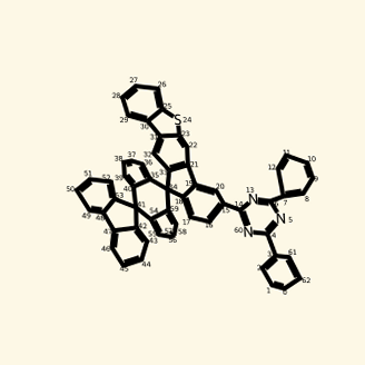 c1ccc(-c2nc(-c3ccccc3)nc(-c3ccc4c(c3)-c3cc5sc6ccccc6c5cc3C43c4ccccc4C4(c5ccccc5-c5ccccc54)c4ccccc43)n2)cc1